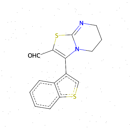 O=CC1=C(c2csc3ccccc23)N2CCCN=C2S1